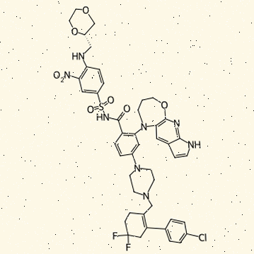 O=C(NS(=O)(=O)c1ccc(NC[C@H]2COCCO2)c([N+](=O)[O-])c1)c1ccc(N2CCN(CC3=C(c4ccc(Cl)cc4)CC(F)(F)CC3)CC2)cc1N1CCCOc2nc3[nH]ccc3cc21